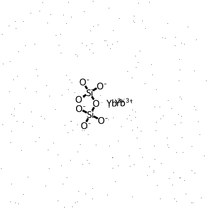 [O-][Si]([O-])([O-])O[Si]([O-])([O-])[O-].[Yb+3].[Yb+3]